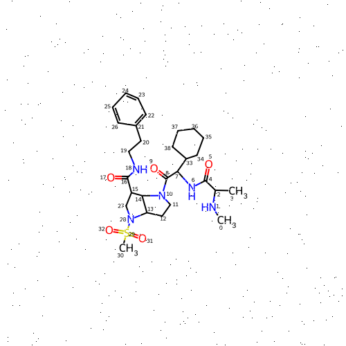 CNC(C)C(=O)NC(C(=O)N1CCC2C1C(C(=O)NCCc1ccccc1)CN2S(C)(=O)=O)C1CCCCC1